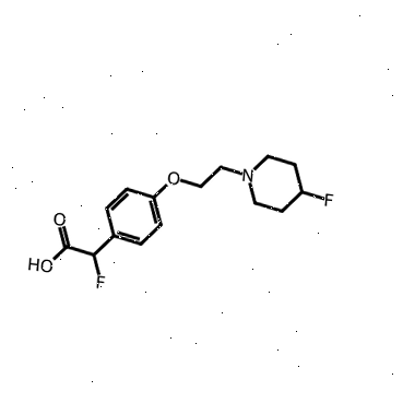 O=C(O)C(F)c1ccc(OCCN2CCC(F)CC2)cc1